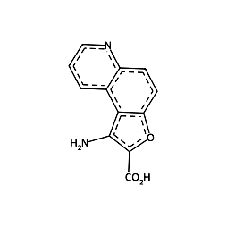 Nc1c(C(=O)O)oc2ccc3ncccc3c12